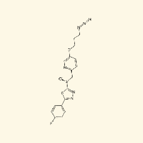 [N-]=[N+]=NCCCOc1ccc(C[S@+]([O-])c2nnc(-c3ccc(F)cc3)o2)nc1